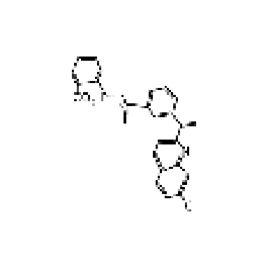 C=C(c1cccc([C@@H](I)CCc2ccccc2C(=O)O)c1)c1ccc2ccc(Cl)cc2n1